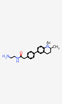 CC(=O)N1c2ccc(-c3ccc(CC(=O)NCCN)cc3)cc2CC[C@@H]1C